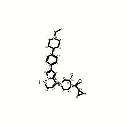 CCN1CCC(c2ccc(-c3cc4n(c3)NCC=C4N3CCN(C(=O)C4CC4)[C@H](C)C3)cc2)CC1